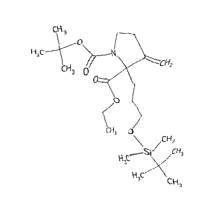 C=C1CCN(C(=O)OC(C)(C)C)C1(CCCO[Si](C)(C)C(C)(C)C)C(=O)OCC